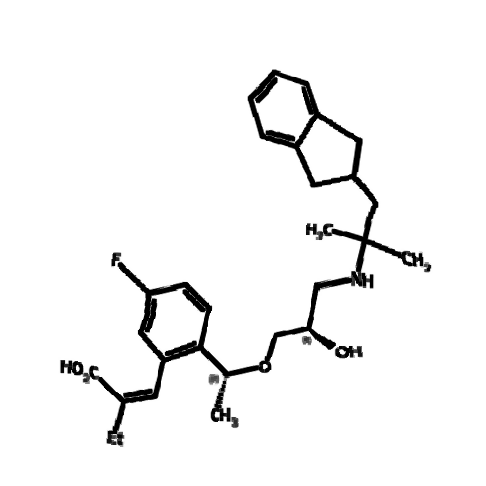 CCC(=Cc1cc(F)ccc1[C@@H](C)OC[C@H](O)CNC(C)(C)CC1Cc2ccccc2C1)C(=O)O